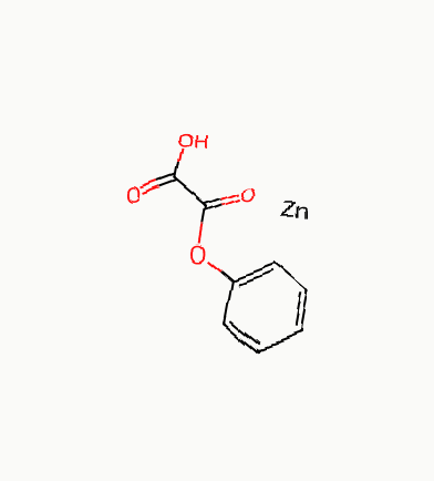 O=C(O)C(=O)Oc1ccccc1.[Zn]